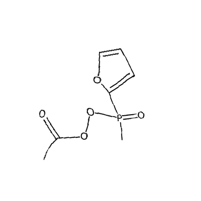 CC(=O)OOP(C)(=O)c1ccco1